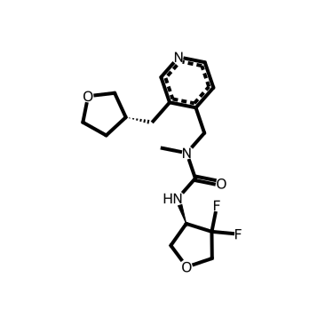 CN(Cc1ccncc1C[C@@H]1CCOC1)C(=O)N[C@@H]1COCC1(F)F